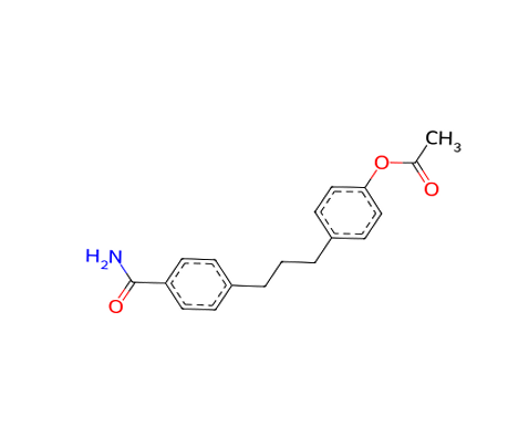 CC(=O)Oc1ccc(CCCc2ccc(C(N)=O)cc2)cc1